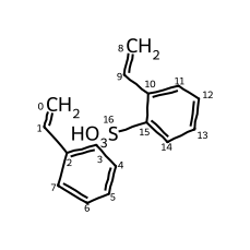 C=Cc1ccccc1.C=Cc1ccccc1S(=O)(=O)O